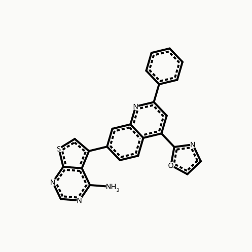 Nc1ncnc2scc(-c3ccc4c(-c5ncco5)cc(-c5ccccc5)nc4c3)c12